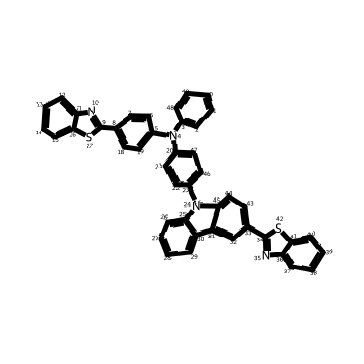 c1ccc(N(c2ccc(-c3nc4ccccc4s3)cc2)c2ccc(-n3c4ccccc4c4cc(-c5nc6ccccc6s5)ccc43)cc2)cc1